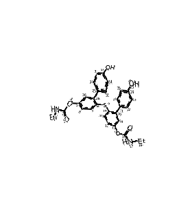 CCNC(=O)Oc1ccc(Sc2ccc(OC(=O)NCC)cc2-c2ccc(O)cc2)c(-c2ccc(O)cc2)c1